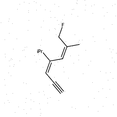 C#C/C=C(\C=C(\C)CF)C(C)C